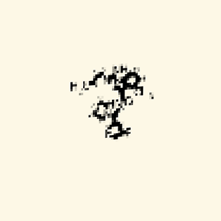 C=C/C=C\N=C(/N)n1cc(C(=O)NCC(c2cncc(F)c2)N2CCOCC2)c2c(C)cccc21